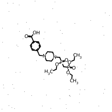 CCOP(=O)(CN1CCN(Cc2ccc(C(=O)O)cc2)CC1)CP(=O)(OCC)OCC